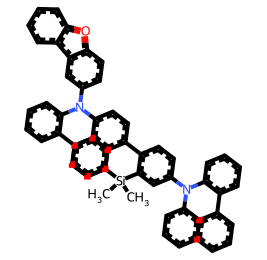 C[Si]1(C)c2cc(N(c3ccccc3)c3ccccc3-c3ccccc3)ccc2-c2ccc(N(c3ccc4oc5ccccc5c4c3)c3ccccc3-c3ccccc3)c3cccc1c23